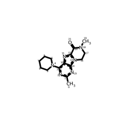 Cc1nc(N2CCCCC2)c2nc3n(c2n1)CCN(C)C3=O